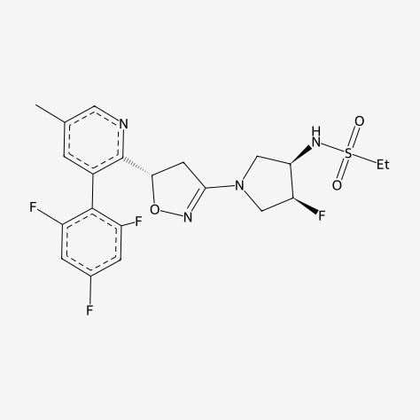 CCS(=O)(=O)N[C@@H]1CN(C2=NO[C@H](c3ncc(C)cc3-c3c(F)cc(F)cc3F)C2)C[C@@H]1F